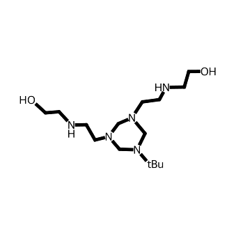 CC(C)(C)N1CN(CCNCCO)CN(CCNCCO)C1